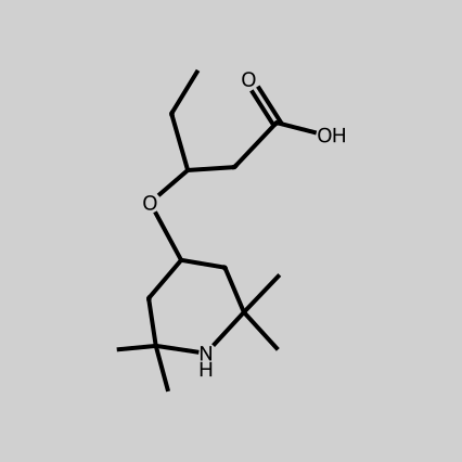 CCC(CC(=O)O)OC1CC(C)(C)NC(C)(C)C1